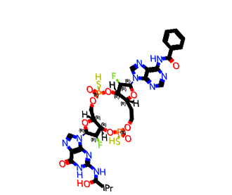 CC(C)C(O)Nc1nc2c(ncn2[C@@H]2O[C@@H]3CO[P@@](=O)(S)O[C@H]4[C@@H](F)[C@H](n5cnc6c(NC(=O)c7ccccc7)ncnc65)O[C@@H]4CCO[P@@](=O)(S)O[C@H]3[C@H]2F)c(=O)[nH]1